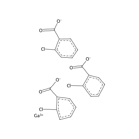 O=C([O-])c1ccccc1Cl.O=C([O-])c1ccccc1Cl.O=C([O-])c1ccccc1Cl.[Ga+3]